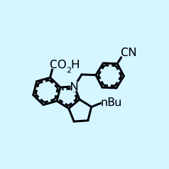 CCCCC1CCc2c1n(Cc1cccc(C#N)c1)c1c(C(=O)O)cccc21